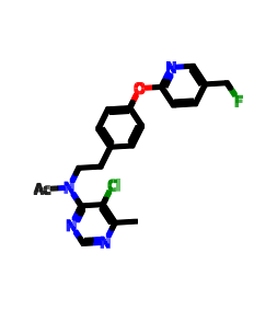 CC(=O)N(CCc1ccc(Oc2ccc(CF)cn2)cc1)c1ncnc(C)c1Cl